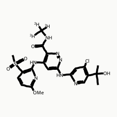 [2H]C([2H])([2H])NC(=O)c1nnc(Nc2cc(Cl)c(C(C)(C)O)cn2)cc1Nc1nc(OC)ccc1S(C)(=O)=O